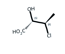 C[C@@H](Cl)[C@@H](O)C(=O)O